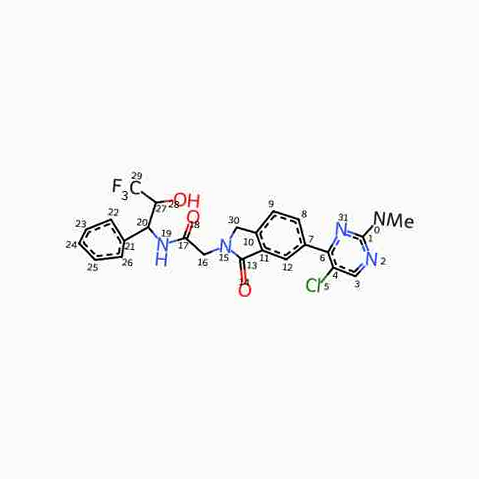 CNc1ncc(Cl)c(-c2ccc3c(c2)C(=O)N(CC(=O)NC(c2ccccc2)C(O)C(F)(F)F)C3)n1